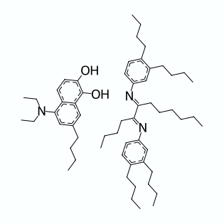 CCCCCCC(=Nc1ccc(CCCC)c(CCCC)c1)C(CCCC)=Nc1ccc(CCCC)c(CCCC)c1.CCCCc1cc(N(CC)CC)c2ccc(O)c(O)c2c1